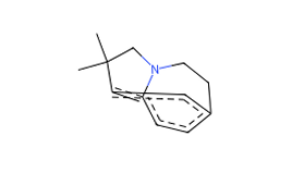 CC1(C)CN2CCc3ccc2c1c3